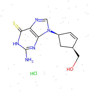 Cl.Nc1nc2c(ncn2[C@H]2C=C[C@@H](CO)C2)c(=S)[nH]1